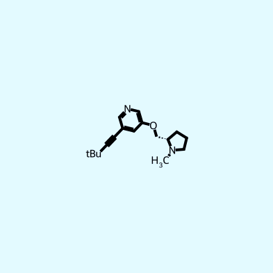 CN1CCC[C@H]1COc1cncc(C#CC(C)(C)C)c1